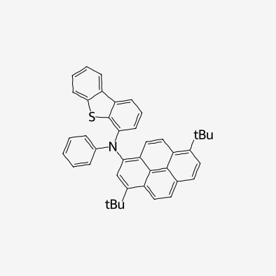 CC(C)(C)c1ccc2ccc3c(C(C)(C)C)cc(N(c4ccccc4)c4cccc5c4sc4ccccc45)c4ccc1c2c43